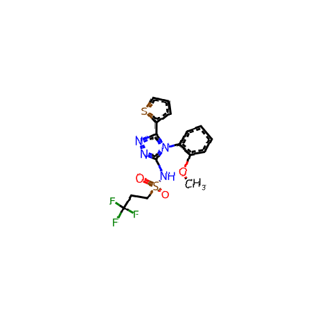 COc1ccccc1-n1c(NS(=O)(=O)CCC(F)(F)F)nnc1-c1cccs1